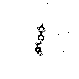 O=C1CNC(C2=CCN(CC(O)c3ccc4c(c3)OCO4)CC2)=NN1